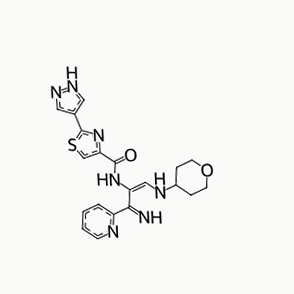 N=C(/C(=C\NC1CCOCC1)NC(=O)c1csc(-c2cn[nH]c2)n1)c1ccccn1